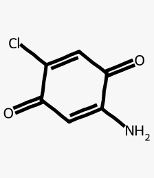 NC1=CC(=O)C(Cl)=CC1=O